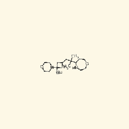 CC(C)(CC1CC(N2CCOCC2)(C(C)(C)C)C1)C1CCOCCN1